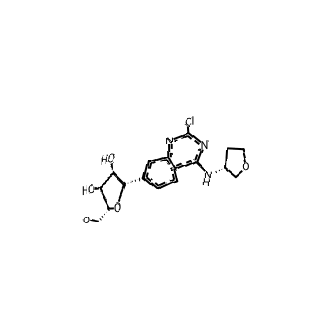 [O]C[C@H]1O[C@@H](c2ccc3c(N[C@@H]4CCOC4)nc(Cl)nc3c2)[C@H](O)[C@@H]1O